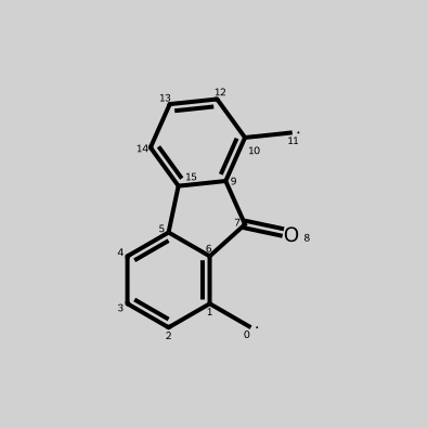 [CH2]c1cccc2c1C(=O)c1c([CH2])cccc1-2